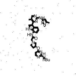 CCCCNc1nccc(O[C@H]2CCN(CC(=O)Nc3cccc4c(-c5nc(Nc6cc(C)n(C)n6)ncc5C)c[nH]c34)C2)n1